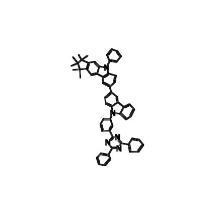 CC1(C)c2cc3c4cc(-c5ccc6c(c5)c5ccccc5n6-c5cccc(-c6nc(-c7ccccc7)nc(-c7ccccc7)n6)c5)ccc4n(-c4ccccc4)c3cc2C(C)(C)C1(C)C